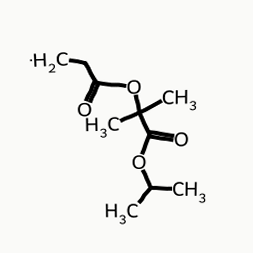 [CH2]CC(=O)OC(C)(C)C(=O)OC(C)C